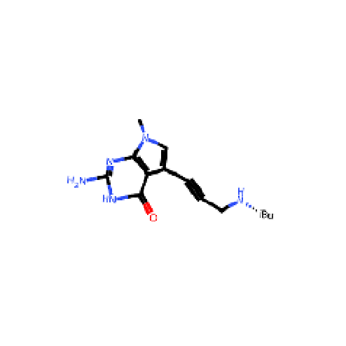 CC[C@@H](C)NCC#Cc1cn(C)c2nc(N)[nH]c(=O)c12